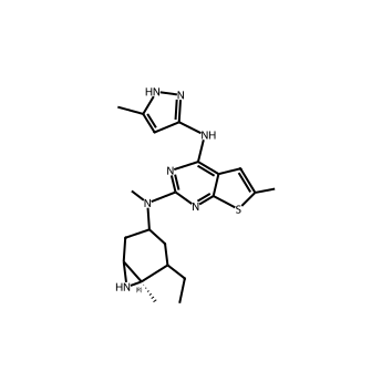 CCC1CC(N(C)c2nc(Nc3cc(C)[nH]n3)c3cc(C)sc3n2)CC2N[C@]12C